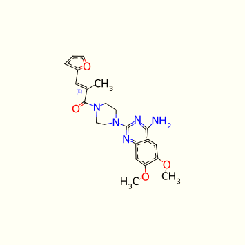 COc1cc2nc(N3CCN(C(=O)/C(C)=C/c4ccco4)CC3)nc(N)c2cc1OC